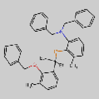 CCC(CC)(Pc1c(C)cccc1N(Cc1ccccc1)Cc1ccccc1)c1cccc(C)c1OCc1ccccc1